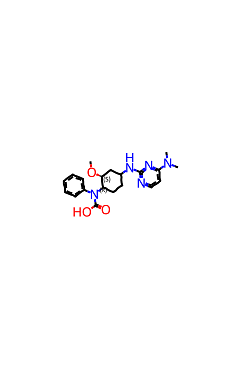 CO[C@H]1CC(Nc2nccc(N(C)C)n2)CC[C@H]1N(C(=O)O)c1ccccc1